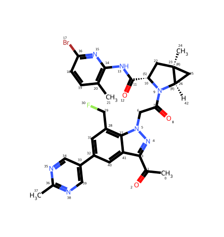 CC(=O)c1nn(CC(=O)N2[C@H](C(=O)Nc3nc(Br)ccc3C)C[C@@]3(C)C[C@@H]23)c2c(CF)cc(-c3cnc(C)nc3)cc12